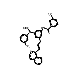 O=CN(c1cc(CC=Cc2nccc3ccccc23)cc(NC(=O)c2cccc(C(F)(F)F)c2)c1)c1cccc(C(F)(F)F)c1